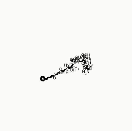 CC(C)(COP(=O)(O)OP(=O)(O)OCC1OC(C)(n2cnc3c(N)ncnc32)C(O)C1OP(=O)(O)O)C(O)C(=O)NCCC(=O)NCCSC(=O)C=CCCc1ccccc1